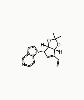 C=CC1=C[C@@H](n2ccc3cnccc32)[C@@H]2OC(C)(C)O[C@H]12